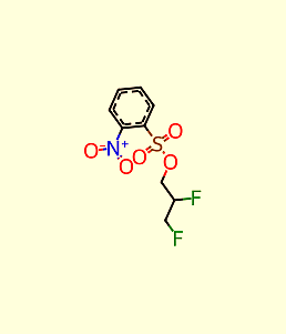 O=[N+]([O-])c1ccccc1S(=O)(=O)OCC(F)CF